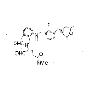 CNC(=O)CCC(C=O)N(C=O)Cc1c(C)cccc1NCc1cccc(CN2CC(C)OC(C)C2)c1F